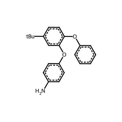 CC(C)(C)c1ccc(Oc2ccccc2)c(Oc2ccc(N)cc2)c1